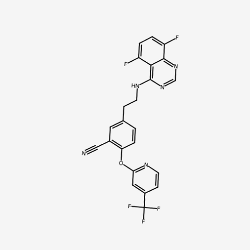 N#Cc1cc(CCNc2ncnc3c(F)ccc(F)c23)ccc1Oc1cc(C(F)(F)F)ccn1